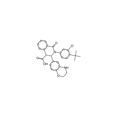 CC(C)(C)c1ccc(N2C(=O)c3ccccc3C(C(=O)O)C2c2ccc3c(c2)NCCO3)cc1Cl